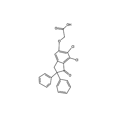 O=C(O)COc1cc2c(c(Cl)c1Cl)C(=O)C(c1ccccc1)(c1ccccc1)C2